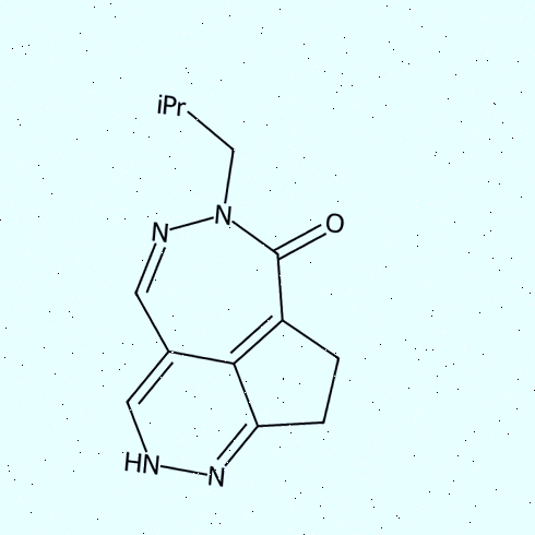 CC(C)CN1N=CC2=CNN=C3CCC(=C23)C1=O